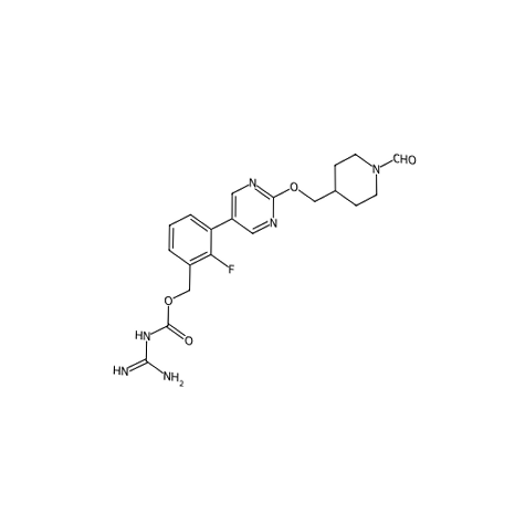 N=C(N)NC(=O)OCc1cccc(-c2cnc(OCC3CCN(C=O)CC3)nc2)c1F